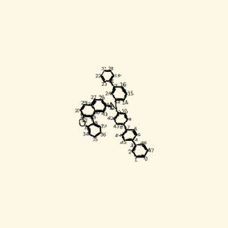 c1ccc(-c2ccc(-c3ccc(N(c4cccc(-c5ccccc5)c4)c4ccc5ccc6oc7ccccc7c6c5c4)cc3)cc2)cc1